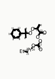 C=C(OOC(C)(C)c1ccccc1)C(=O)OOC(=O)OC(C)C.CCC